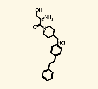 Cl.N[C@H](CO)C(=O)N1CCC(Cc2ccc(CCc3ccccc3)cc2)CC1